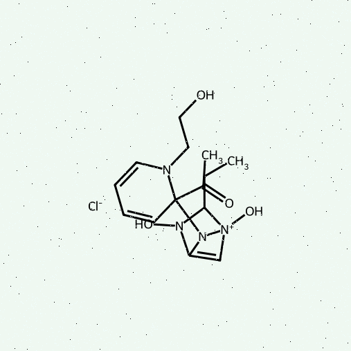 CCC1N(O)C2=C[N+]1(O)N2C1(C(C)=O)C=CC=CN1CCO.[Cl-]